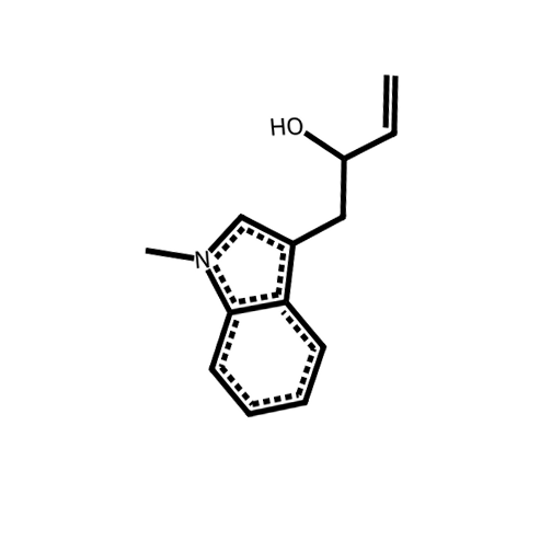 C=CC(O)Cc1cn(C)c2ccccc12